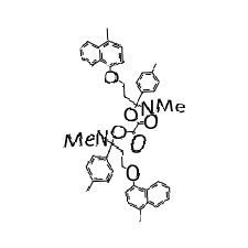 CNC(CCOc1ccc(C)c2ccccc12)(OC(=O)C(=O)OC(CCOc1ccc(C)c2ccccc12)(NC)c1ccc(C)cc1)c1ccc(C)cc1